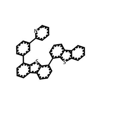 c1ccc(-c2cccc(-c3cccc4c3sc3c(-c5cccc6c5sc5ccccc56)cccc34)c2)nc1